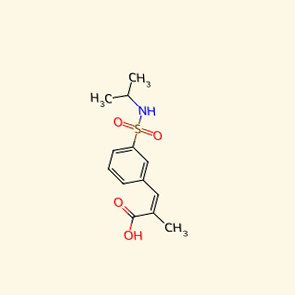 CC(=Cc1cccc(S(=O)(=O)NC(C)C)c1)C(=O)O